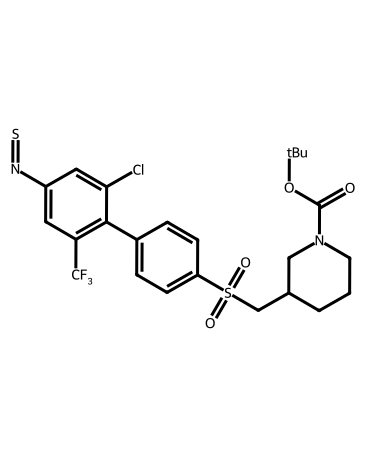 CC(C)(C)OC(=O)N1CCCC(CS(=O)(=O)c2ccc(-c3c(Cl)cc(N=S)cc3C(F)(F)F)cc2)C1